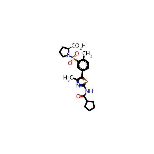 Cc1ccc(-c2sc(NC(=O)C3CCCC3)nc2C)cc1S(=O)(=O)N1CCC[C@H]1C(=O)O